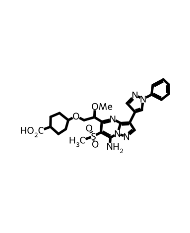 COC(COC1CCC(C(=O)O)CC1)c1nc2c(-c3cnn(-c4ccccc4)c3)cnn2c(N)c1S(C)(=O)=O